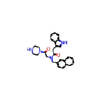 O=C(CN(Cc1ccc2ccccc2c1)C(=O)Cc1c[nH]c2ccccc12)N1CCNCC1